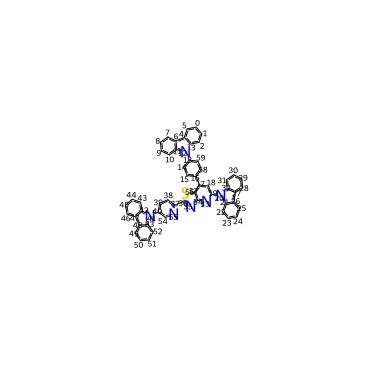 c1ccc2c(c1)c1ccccc1n2-c1ccc(-c2cc(-n3c4ccccc4c4ccccc43)nc3nc(-c4ccc(-n5c6ccccc6c6ccccc65)cn4)sc23)cc1